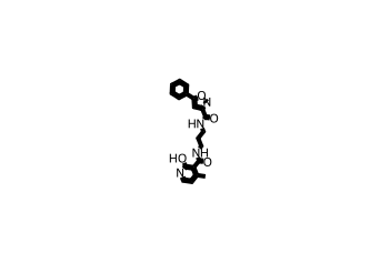 Cc1ccnc(O)c1C(=O)NCCCNC(=O)c1cc(-c2ccccc2)on1